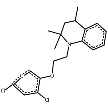 CC1CC(C)(C)N(CCOc2ccc(Cl)cc2Cl)c2ccccc21